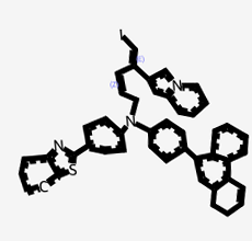 I/C=C(\C=C/CN(c1ccc(-c2nc3ccccc3s2)cc1)c1ccc(-c2cc3c(c4ccccc24)C=CCC3)cc1)c1cc2ccccn2c1